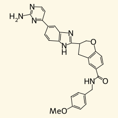 COc1ccc(CNC(=O)c2ccc3c(c2)CC(c2nc4cc(-c5ccnc(N)n5)ccc4[nH]2)CO3)cc1